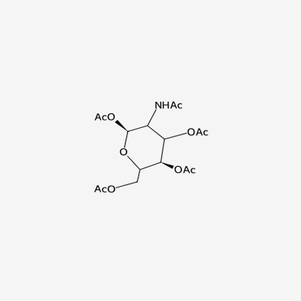 CC(=O)NC1C(OC(C)=O)[C@@H](OC(C)=O)C(COC(C)=O)O[C@H]1OC(C)=O